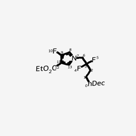 CCCCCCCCCCCCC(F)(F)Cn1cc(F)c(C(=O)OCC)c1